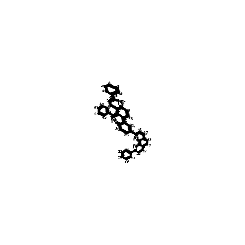 c1ccc(-c2ccc3c(ccc4c5cc(-c6ccc7ccc8ccc(-c9ccccc9)nc8c7n6)ccc5nc(-c5ccccc5)c34)n2)cc1